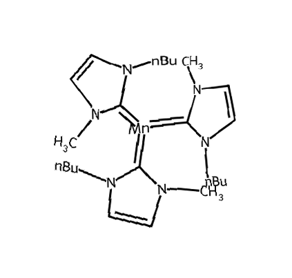 CCCCn1ccn(C)[c]1=[Mn](=[c]1n(C)ccn1CCCC)=[c]1n(C)ccn1CCCC